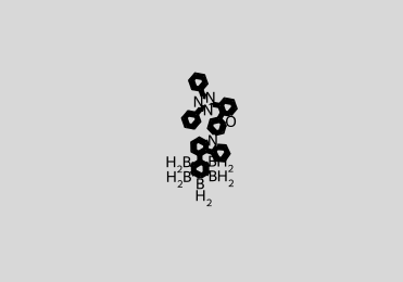 Bc1c(B)c(B)c(-c2cccc3c2c2ccccc2n3-c2ccc3c(c2)oc2cccc(-c4nc(-c5ccccc5)nc(-c5ccccc5)n4)c23)c(B)c1B